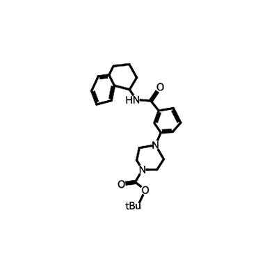 CC(C)(C)OC(=O)N1CCN(c2cccc(C(=O)NC3CCCc4ccccc43)c2)CC1